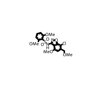 COCc1cc(OC)c2c(NS(=O)(=O)c3c(OC)cccc3OC)noc2c1Cl